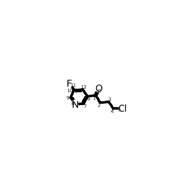 O=C(CCCCl)c1cncc(F)c1